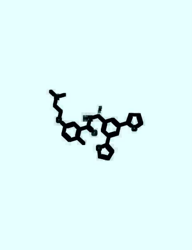 Cc1ccc(OCCN(C)C)cc1C(=O)N[C@H](C)c1cc(-c2ccco2)cc(-c2ccco2)c1